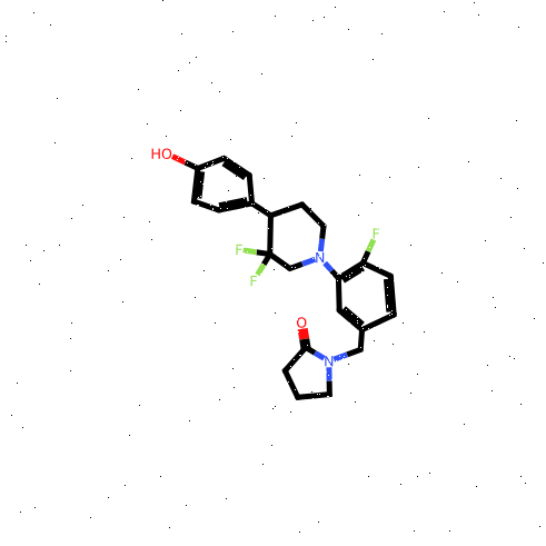 O=C1CCCN1Cc1ccc(F)c(N2CCC(c3ccc(O)cc3)C(F)(F)C2)c1